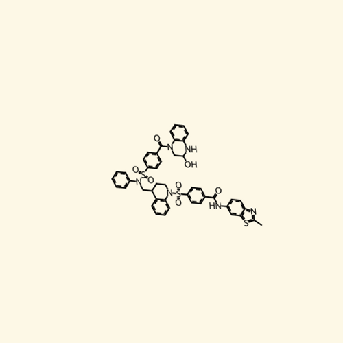 Cc1nc2ccc(NC(=O)c3ccc(S(=O)(=O)N4CCC(CN(c5ccccc5)S(=O)(=O)c5ccc(C(=O)N6CC(O)Nc7ccccc76)cc5)c5ccccc54)cc3)cc2s1